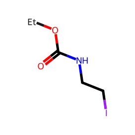 CCOC(=O)NCCI